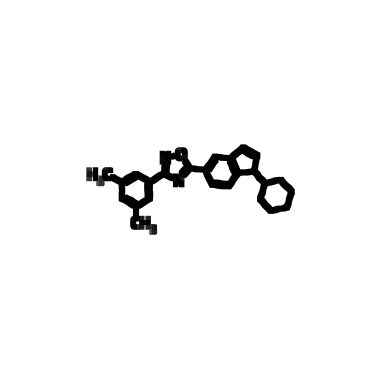 Cc1cc(C)cc(-c2noc(-c3ccc4c(c3)C=CC4C3CCCCC3)n2)c1